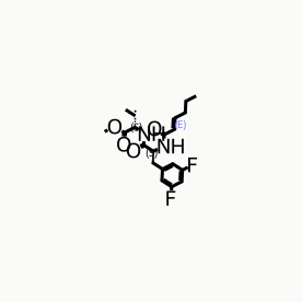 C[CH][C@H](NC(=O)[C@H](Cc1cc(F)cc(F)c1)NC(=O)/C=C/CCC)C(=O)OC